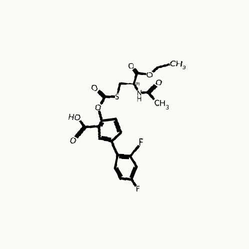 CCOC(=O)[C@H](CSC(=O)Oc1ccc(-c2ccc(F)cc2F)cc1C(=O)O)NC(C)=O